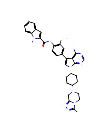 COc1cc(-c2cn([C@H]3CC[C@H](N4CCn5c(nnc5C(F)(F)F)C4)CC3)c3ncnc(N)c23)ccc1NC(=O)c1cc2ccccc2n1C